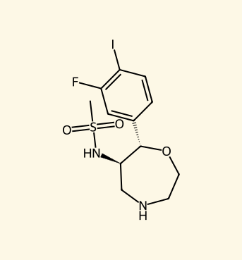 CS(=O)(=O)N[C@@H]1CNCCO[C@H]1c1ccc(I)c(F)c1